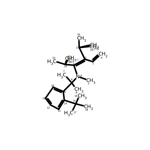 C=C/C(=C(\N(C)C(C)(C)c1ccccc1C(C)(C)C)C(C)(C)C)C(C)(C)C